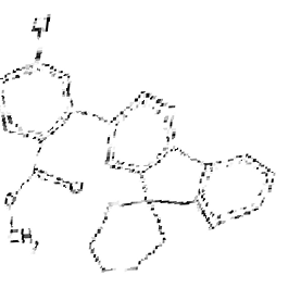 COC(=O)c1ccc(Cl)cc1-c1ccc2c(c1)C1(CCCCC1)c1ccccc1-2